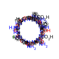 CCCC[C@H]1C(=O)N(C)[C@@H](CCCC)C(=O)N[C@@H](CC(C)C)C(=O)N[C@H](C(N)=O)CNCC(=O)N[C@@H](Cc2ccc(F)cc2)C(=O)N2CCCC[C@H]2C(=O)N[C@@H](CC(N)=O)C(=O)N2CCC[C@H]2C(=O)N[C@@H](CCC(N)=O)C(=O)N[C@@H](CC(=O)O)C(=O)N2C[C@H](O)C[C@H]2C(=O)N[C@@H](Cc2c[nH]c3ccccc23)C(=O)N[C@@H](CC(N)=O)C(=O)N[C@@H](Cc2cn(CC(=O)O)c3ccccc23)C(=O)N1C